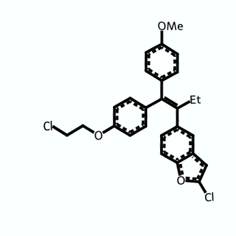 CCC(=C(c1ccc(OC)cc1)c1ccc(OCCCl)cc1)c1ccc2oc(Cl)cc2c1